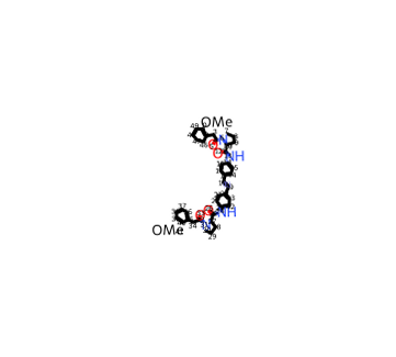 COC1=C(CC(=O)N2CCC[C@H]2C(=O)Nc2ccc(/C=C/c3ccc(NC(=O)C4CCCN4C(=O)Cc4ccccc4OC)cc3)cc2)CCC=C1